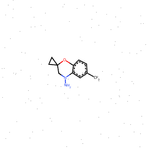 NN1CC2(CC2)Oc2ccc(C(F)(F)F)cc21